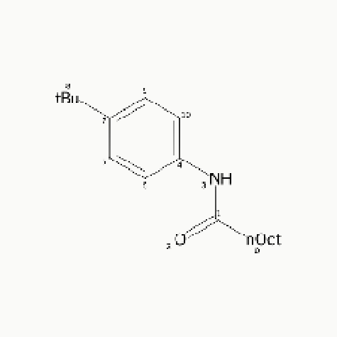 CCCCCCCCC(=O)Nc1ccc(C(C)(C)C)cc1